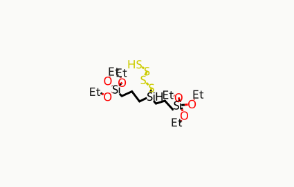 CCO[Si](CCC[SiH](CCC[Si](OCC)(OCC)OCC)SSSS)(OCC)OCC